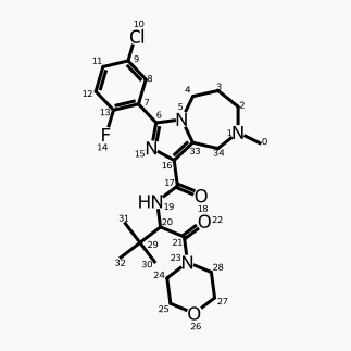 CN1CCCn2c(-c3cc(Cl)ccc3F)nc(C(=O)NC(C(=O)N3CCOCC3)C(C)(C)C)c2C1